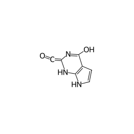 O=C=C1N=C(O)c2cc[nH]c2N1